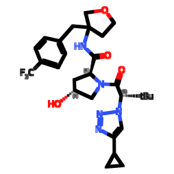 CC(C)(C)[C@@H](C(=O)N1C[C@H](O)C[C@H]1C(=O)NC1(Cc2ccc(C(F)(F)F)cc2)CCOC1)n1cc(C2CC2)nn1